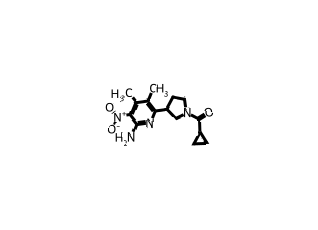 Cc1c(C2CCN(C(=O)C3CC3)C2)nc(N)c([N+](=O)[O-])c1C